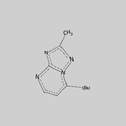 Cc1nc2nccc(C(C)(C)C)n2n1